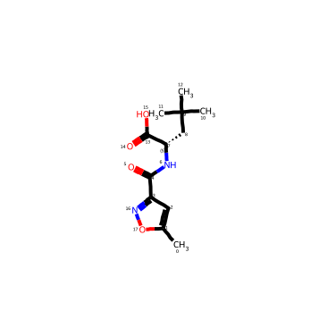 Cc1cc(C(=O)N[C@@H](CC(C)(C)C)C(=O)O)no1